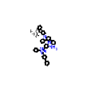 CC1(C)c2ccccc2-c2ccc(-n3c4ccccc4c4c3ccc3c5ccccc5n(-c5ccc(-c6nc(-c7ccccc7)nc(-c7ccc(-c8ccccc8)cc7)n6)cc5N)c34)cc21